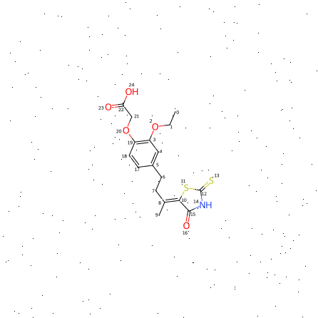 CCOc1cc(CCC(C)=C2SC(=S)NC2=O)ccc1OCC(=O)O